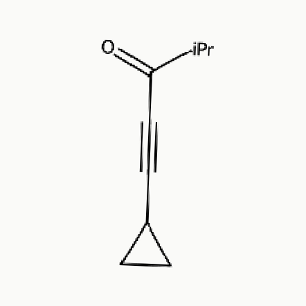 CC(C)C(=O)C#CC1CC1